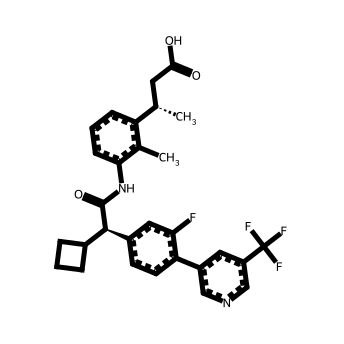 Cc1c(NC(=O)[C@@H](c2ccc(-c3cncc(C(F)(F)F)c3)c(F)c2)C2CCC2)cccc1[C@@H](C)CC(=O)O